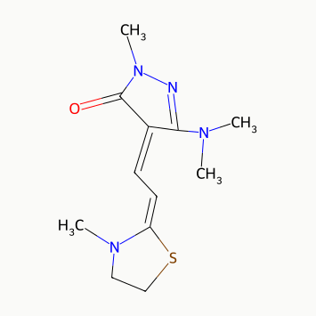 CN(C)C1=NN(C)C(=O)/C1=C/C=C1/SCCN1C